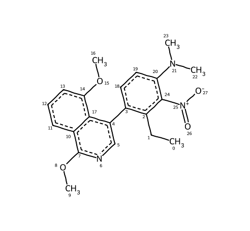 CCc1c(-c2cnc(OC)c3cccc(OC)c23)ccc(N(C)C)c1[N+](=O)[O-]